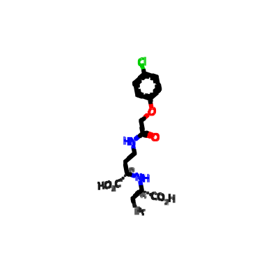 CC(C)C[C@H](N[C@@H](CCNC(=O)COc1ccc(Cl)cc1)C(=O)O)C(=O)O